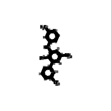 CC(C)c1c(Nc2ccnc(C(F)(F)F)c2)nc(N)nc1-c1cccc(C(F)(F)F)n1